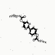 CCCCCCCC(=O)Oc1cnc(-c2ccc(OC(=O)CCCCCC)cc2)nc1